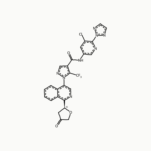 O=C1CO[C@H](c2ncc(-n3ncc(C(=O)Nc4cnc(-n5nccn5)c(Cl)c4)c3C(F)(F)F)c3ccccc23)C1